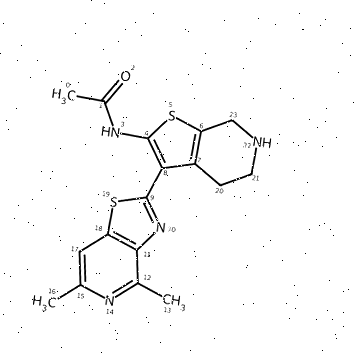 CC(=O)Nc1sc2c(c1-c1nc3c(C)nc(C)cc3s1)CCNC2